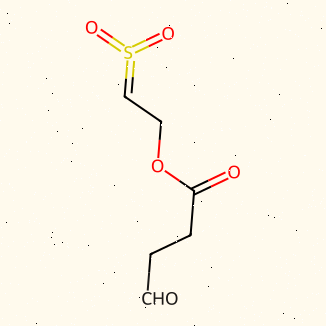 O=CCCC(=O)OCC=S(=O)=O